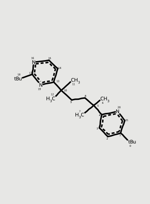 CC(C)(C)c1ccc(C(C)(C)CCC(C)(C)c2ccnc(C(C)(C)C)n2)nc1